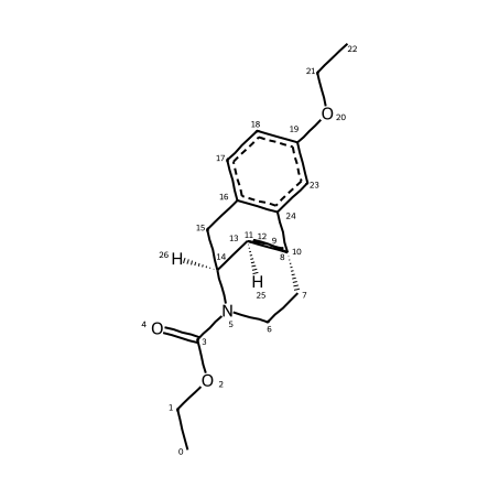 CCOC(=O)N1CC[C@@]23CCCC[C@@H]2[C@@H]1Cc1ccc(OCC)cc13